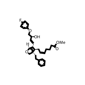 COC(=O)CCC/C=C\C[C@@H]1[C@@H](/C=C/[C@H](O)COc2ccc(F)cc2)[C@H]2C[C@]1(CCc1ccccc1)CO2